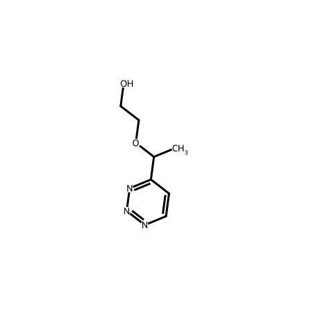 CC(OCCO)c1ccnnn1